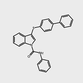 O=C(Nc1ccccc1)n1cc(Sc2ccc(-c3ccccc3)cc2)c2ccccc21